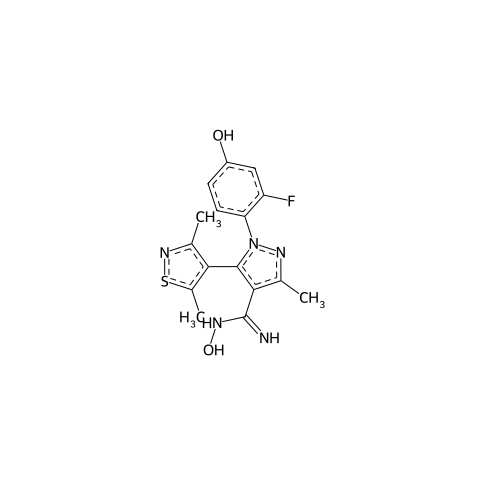 Cc1nn(-c2ccc(O)cc2F)c(-c2c(C)nsc2C)c1C(=N)NO